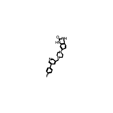 O=C1NCc2ccc(N3CCN(Cc4cncc(-c5ccc(F)cc5)c4)CC3)cc2N1